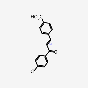 O=C(O)c1ccc(/C=C/C(=O)c2ccc(Cl)cc2)cc1